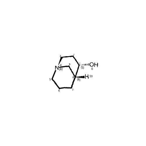 O[C@H]1CC[N@]2CCC[C@@H]1C2